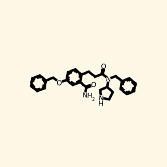 NC(=O)c1cc(OCc2ccccc2)ccc1C[CH]C(=O)N(Cc1ccccc1)C1CCNC1